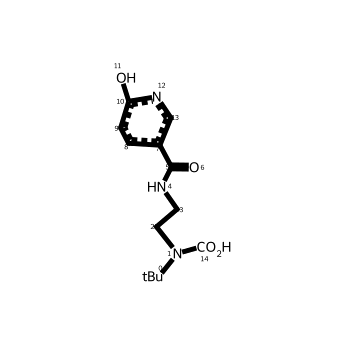 CC(C)(C)N(CCNC(=O)c1ccc(O)nc1)C(=O)O